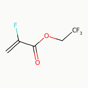 C=C(F)C(=O)OCC(F)(F)F